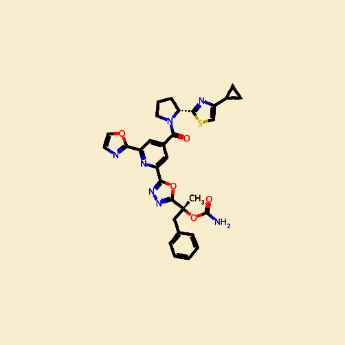 C[C@](Cc1ccccc1)(OC(N)=O)c1nnc(-c2cc(C(=O)N3CCC[C@@H]3c3nc(C4CC4)cs3)cc(-c3ncco3)n2)o1